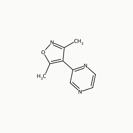 Cc1noc(C)c1-c1cnccn1